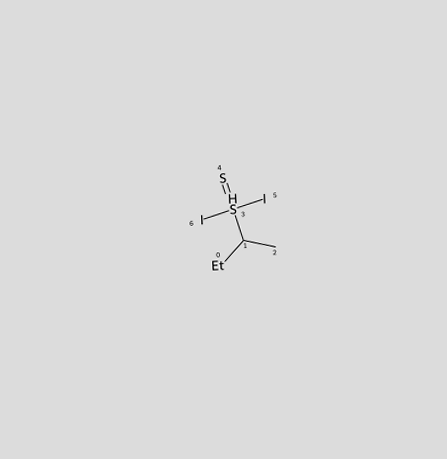 CCC(C)[SH](=S)(I)I